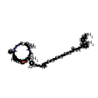 CO[C@@H]1C[C@H](C[C@@H](N)[C@@H]2CC(=O)[C@H](C)/C=C(\C)[C@@H](O)[C@@H](O)C(=O)[C@H](C)C[C@H](C)/C=C/C=C/C=C(\C)C(c3ccco3)C[C@@H]3CC[C@@H](C)[C@@](O)(O3)C(=O)C(=O)N3CCCC[C@H]3C(=O)O2)CC[C@H]1OCCCCc1cn(CCOCCOCCOCCOCCOCCOCCC(=O)NCCCCn2nc(-c3ccc4oc(N)nc4c3)c3c(N)ncnc32)nn1